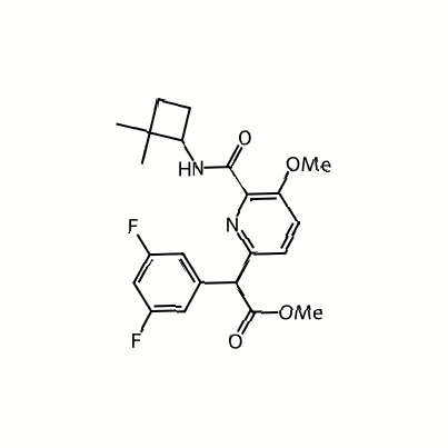 COC(=O)C(c1cc(F)cc(F)c1)c1ccc(OC)c(C(=O)NC2CCC2(C)C)n1